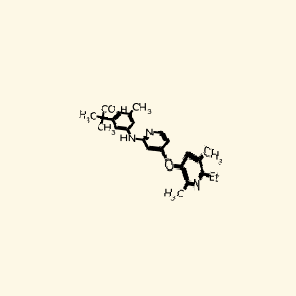 CCc1nc(C)c(Oc2ccnc(Nc3cc(C)cc(C(C)(C)C(=O)O)c3)c2)cc1C